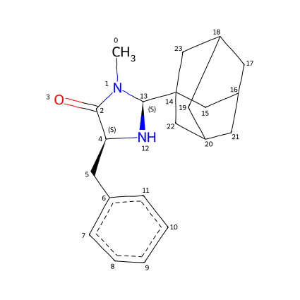 CN1C(=O)[C@H](Cc2ccccc2)N[C@@H]1C12CC3CC(CC(C3)C1)C2